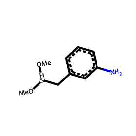 CO[SiH](Cc1cccc(N)c1)OC